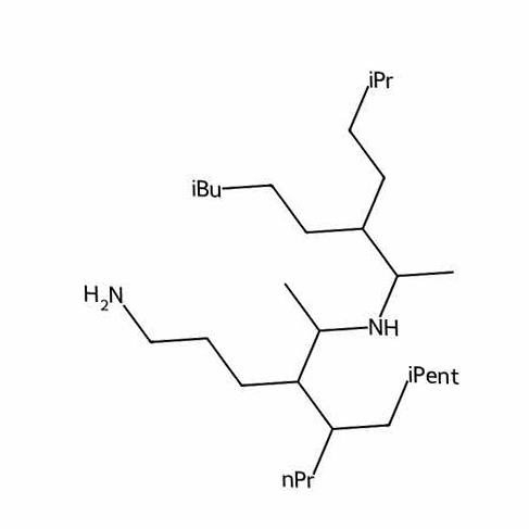 CCCC(C)CC(CCC)C(CCCN)C(C)NC(C)C(CCC(C)C)CCC(C)CC